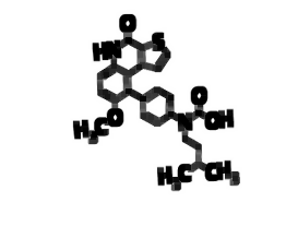 COc1ccc2[nH]c(=O)c3sccc3c2c1-c1ccc(N(CCC(C)C)C(=O)O)cc1